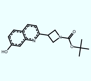 CC(C)(C)OC(=O)N1CC(c2ccc3ccc(O)cc3n2)C1